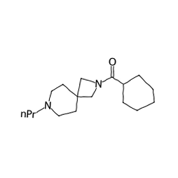 CCCN1CCC2(CC1)CN(C(=O)C1CCCCC1)C2